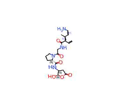 C=C/C(C(=O)NCC(=O)N1CCC[C@H]1C(=O)N[C@H]1CC(=O)O[C@H]1O)=C(C)\C=C/N